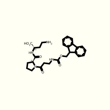 NCC[C@H](NC(=O)[C@@H]1CCCN1C(=O)CCNC(=O)OCC1c2ccccc2-c2ccccc21)C(=O)O